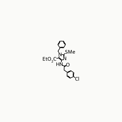 CCOC(=O)c1c(NC(=O)Cc2ccc(Cl)cc2)nc(SC)n1Cc1ccccc1